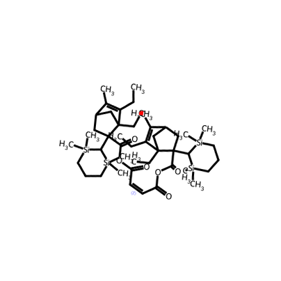 CCC1=C(C)C2CC1(CC)C(C(=O)OC(=O)/C=C\C(=O)OC(=O)C1(C3[Si](C)(C)CCC[Si]3(C)C)CC3CC1(CC)C(CC)=C3C)(C1[Si](C)(C)CCC[Si]1(C)C)C2